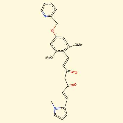 COc1cc(OCc2ccccn2)cc(OC)c1C=CC(=O)CC(=O)C=Cc1cccn1C